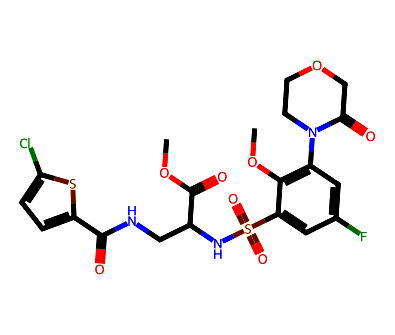 COC(=O)C(CNC(=O)c1ccc(Cl)s1)NS(=O)(=O)c1cc(F)cc(N2CCOCC2=O)c1OC